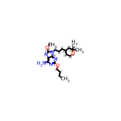 CCCCOc1nc(N)c2nc(OC)n(CCCC3CCOC(C)(C)C3)c2n1